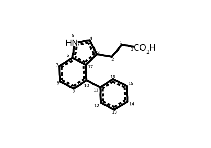 O=C(O)CCc1c[nH]c2cccc(-c3ccccc3)c12